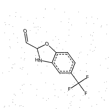 O=CC1Nc2cc(C(F)(F)F)ccc2O1